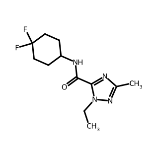 CCn1nc(C)nc1C(=O)NC1CCC(F)(F)CC1